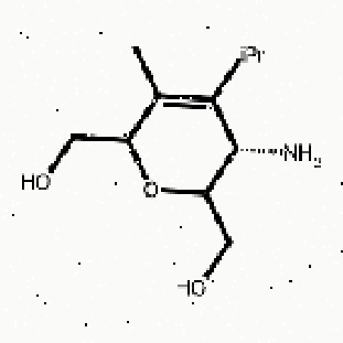 CC1=C(C(C)C)[C@H](N)C(CO)OC1CO